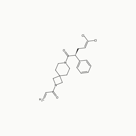 C=CC(=O)N1CC2(CCN(C(=O)[C@@H](CC=C(Cl)Cl)c3ccccc3)CC2)C1